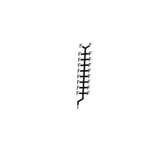 FC(F)C(F)(F)C(F)(F)C(F)(F)C(F)(F)C(F)(F)C(F)(F)C(F)(F)C(F)(F)CCI